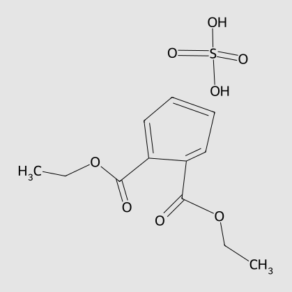 CCOC(=O)c1ccccc1C(=O)OCC.O=S(=O)(O)O